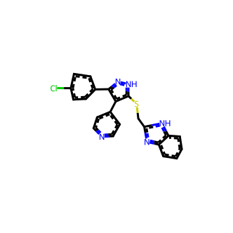 Clc1ccc(-c2n[nH]c(SCc3nc4ccccc4[nH]3)c2-c2ccncc2)cc1